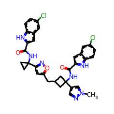 Cn1cc(C2(NC(=O)c3cc4cc(Cl)ccc4[nH]3)CC(Cc3cc(C4(NC(=O)c5cc6cc(Cl)ccc6[nH]5)CC4)no3)C2)cn1